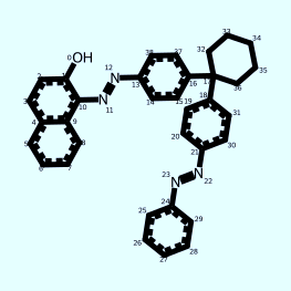 Oc1ccc2ccccc2c1N=Nc1ccc(C2(c3ccc(N=Nc4ccccc4)cc3)CCCCC2)cc1